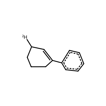 [2H]C1C=C(c2ccccc2)CCC1